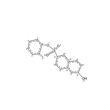 Cc1ccccc1OS(=O)(=O)c1ccc2cc(O)ccc2c1